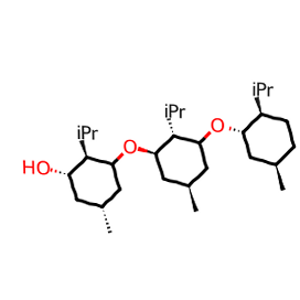 CC(C)[C@H]1C(O[C@@H]2C[C@H](C)CC(O[C@H]3C[C@H](C)CC[C@@H]3C(C)C)[C@H]2C(C)C)C[C@H](C)C[C@@H]1O